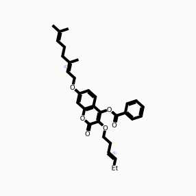 CC/C=C/CCOc1c(OC(=O)c2ccccc2)c2ccc(OC/C=C(\C)CCC=C(C)C)cc2oc1=O